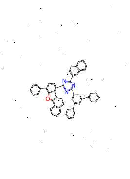 c1ccc(-c2cc(-c3ccccc3)cc(-c3nc(-c4ccc5ccccc5c4)nc(-c4ccc(-c5ccccc5)c5oc6c7ccccc7ccc6c45)n3)c2)cc1